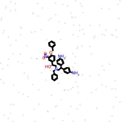 Nc1ccc(C(CN(Cc2ccccc2)C[C@H](O)c2ccc(OCc3ccccc3)c([N+](=O)[O-])c2)c2ccc(N)cc2)cc1